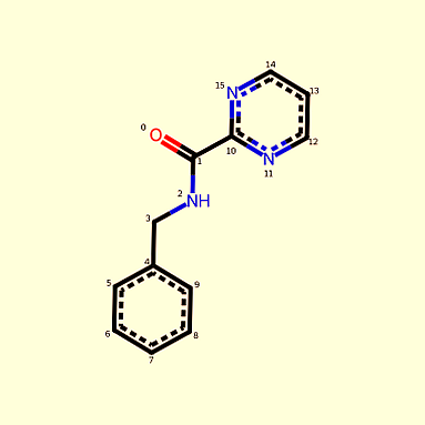 O=C(NCc1ccccc1)c1ncccn1